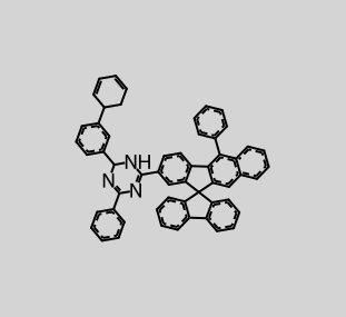 C1=CCC(c2cccc(C3N=C(c4ccccc4)N=C(c4ccc5c(c4)C4(c6ccccc6-c6ccccc64)c4cc6ccccc6c(-c6ccccc6)c4-5)N3)c2)C=C1